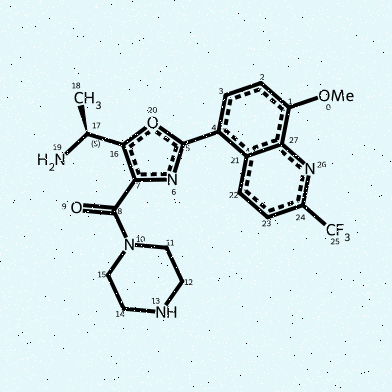 COc1ccc(-c2nc(C(=O)N3CCNCC3)c([C@H](C)N)o2)c2ccc(C(F)(F)F)nc12